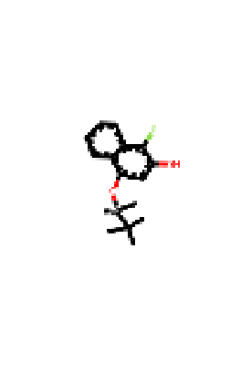 CC(C)(C)[Si](C)(C)Oc1cc(O)c(F)c2ccccc12